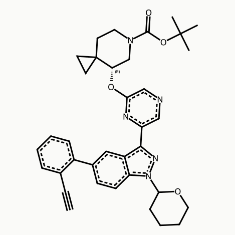 C#Cc1ccccc1-c1ccc2c(c1)c(-c1cncc(O[C@H]3CN(C(=O)OC(C)(C)C)CCC34CC4)n1)nn2C1CCCCO1